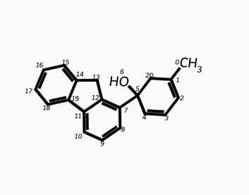 CC1=CC=CC(O)(c2cccc3c2Cc2ccccc2-3)C1